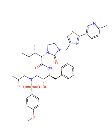 CC[C@H](C)[C@@H](C(=O)N[C@@H](Cc1ccccc1)[C@H](O)CN(CC(C)C)S(=O)(=O)c1ccc(OC)cc1)N1CCN(Cc2csc(-c3ccc(C)nc3)n2)C1=O